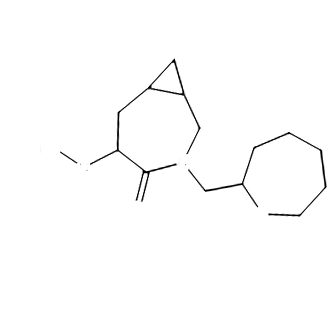 CNC1CC2CC2CN(CC2CCCCCS2)C1=O